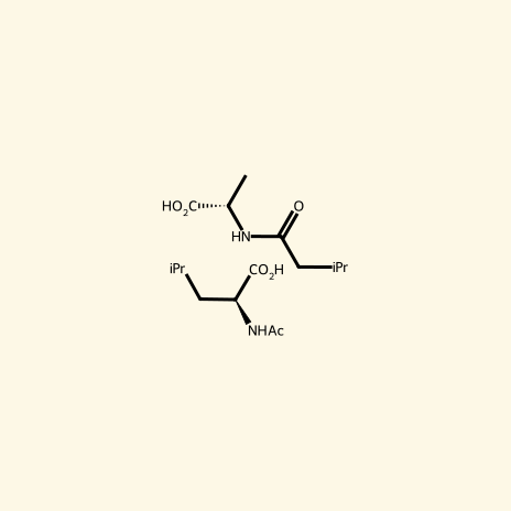 CC(=O)N[C@@H](CC(C)C)C(=O)O.CC(C)CC(=O)N[C@@H](C)C(=O)O